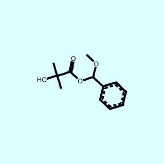 COC(OC(=O)C(C)(C)O)c1ccccc1